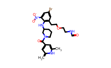 C=C1C=C(C(=O)N2CCCC(Nc3c(CCOCCNC=O)cc(Br)cc3[N+](=O)[O-])C2)C=C(C)N1